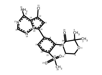 CC1(C)OCCN(c2cc(-c3cc(Cl)c4c(N)ncnn34)ccc2S(C)(=O)=O)C1=O